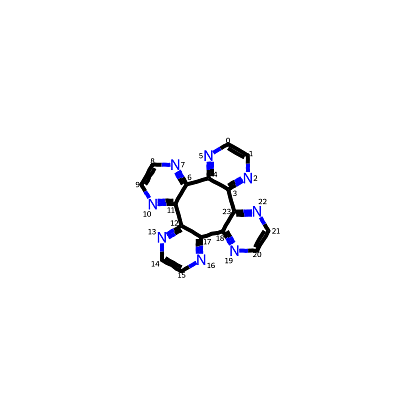 c1cnc2c(n1)-c1nccnc1-c1nccnc1-c1nccnc1-2